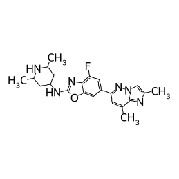 Cc1cn2nc(-c3cc(F)c4nc(NC5CC(C)NC(C)C5)oc4c3)cc(C)c2n1